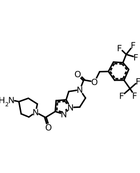 NC1CCN(C(=O)c2cc3n(n2)CCN(C(=O)OCc2cc(C(F)(F)F)cc(C(F)(F)F)c2)C3)CC1